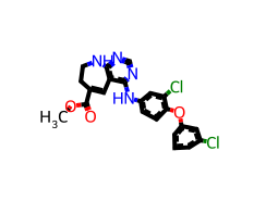 COC(=O)C1=Cc2c(ncnc2Nc2ccc(Oc3cccc(Cl)c3)c(Cl)c2)NCC1